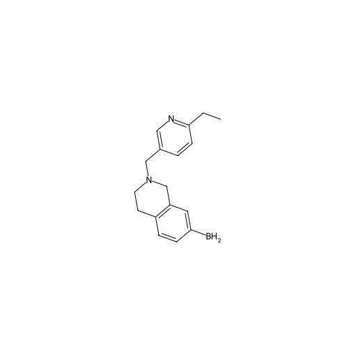 Bc1ccc2c(c1)CN(Cc1ccc(CC)nc1)CC2